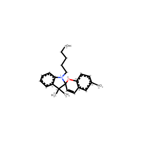 CCCCCCCCCCCCCCN1c2ccccc2C(C)(C)C12C=Cc1cc([N+](=O)[O-])ccc1O2